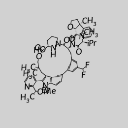 CCn1c(-c2cccnc2[C@H](C)OC)c2c3cc(ccc31)-c1cc(cc(C(F)F)c1)C[C@H](NC(=O)[C@H](C(C)C)N(C)C(=O)[C@@H]1OCC[C@@]1(C)c1ccccc1)C(=O)N1CCC[C@@](O)(N1)C(=O)OCC(C)(C)C2